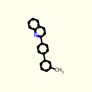 Cc1cccc(-c2ccc(-c3ccc4ccccc4n3)cc2)c1